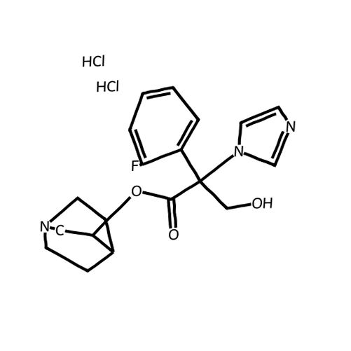 Cl.Cl.O=C(OC1CN2CCC1CC2)C(CO)(c1ccccc1F)n1ccnc1